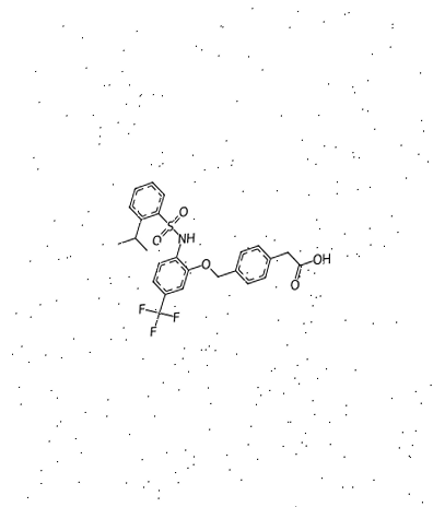 CC(C)c1ccccc1S(=O)(=O)Nc1ccc(C(F)(F)F)cc1OCc1ccc(CC(=O)O)cc1